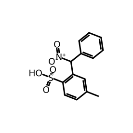 Cc1ccc(S(=O)(=O)O)c(C(c2ccccc2)[N+](=O)[O-])c1